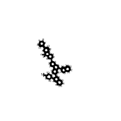 CC1(C)c2cc(-c3ccccc3)ccc2-c2ccc(-c3ccc4c(c3)cc(-c3ccc5ccccc5c3)c3cc(-c5cc6ccccc6cc5C5=CC=C(I)CC5)ccc34)cc21